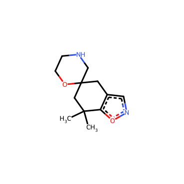 CC1(C)CC2(CNCCO2)Cc2cnoc21